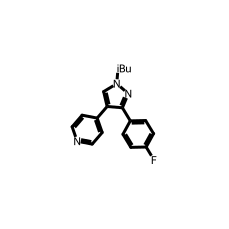 CCC(C)n1cc(-c2ccncc2)c(-c2ccc(F)cc2)n1